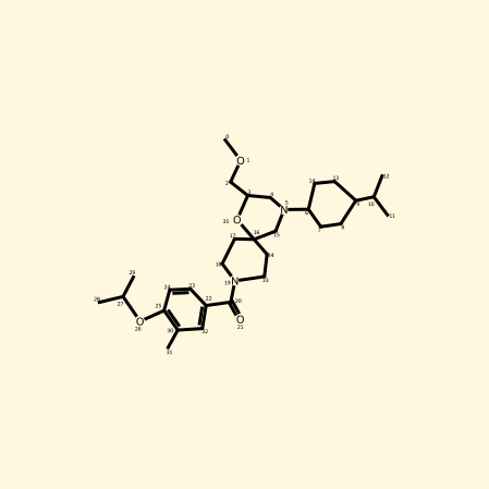 COCC1CN(C2CCC(C(C)C)CC2)CC2(CCN(C(=O)c3ccc(OC(C)C)c(C)c3)CC2)O1